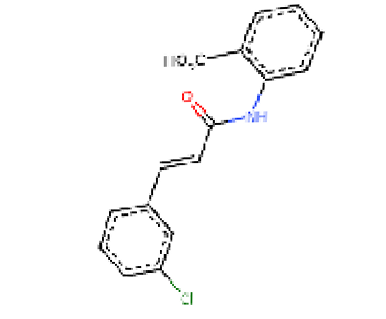 O=C(C=Cc1cccc(Cl)c1)Nc1ccccc1C(=O)O